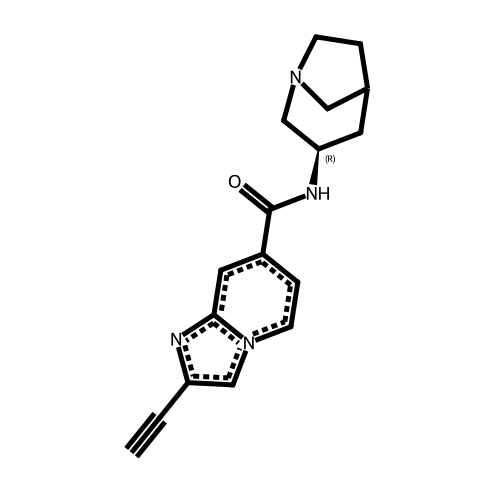 C#Cc1cn2ccc(C(=O)N[C@@H]3CC4CCN(C4)C3)cc2n1